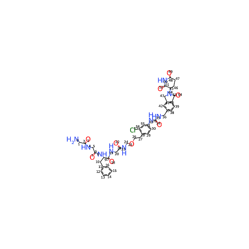 NCC(=O)NCC(=O)NC(Cc1ccccc1)C(=O)NCC(=O)NCOCCc1ccc(NC(=O)NCc2ccc3c(c2)CN(C2CCC(=O)NC2=O)C3=O)cc1Cl